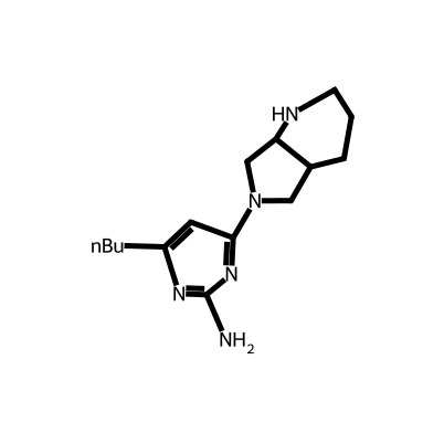 CCCCc1cc(N2CC3CCCNC3C2)nc(N)n1